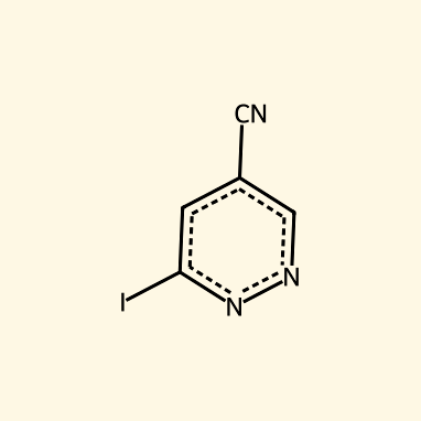 N#Cc1cnnc(I)c1